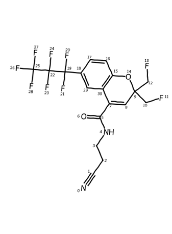 N#CCCNC(=O)C1=CC(CF)(CF)Oc2ccc(C(F)(F)C(F)(F)C(F)(F)F)cc21